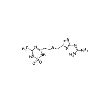 CC1N=C(CCSCc2csc(N=C(N)N)n2)NS(=O)(=O)N1